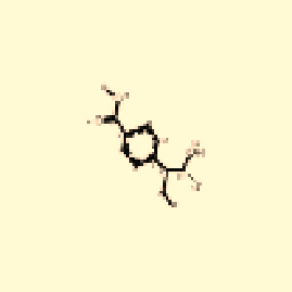 CC[C@@H](c1ccc(C(=O)OC)cc1)[C@@H](C)O